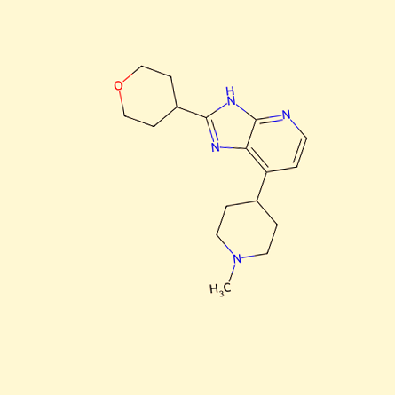 CN1CCC(c2ccnc3[nH]c(C4CCOCC4)nc23)CC1